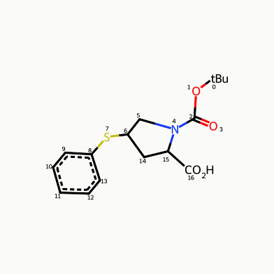 CC(C)(C)OC(=O)N1CC(Sc2ccccc2)CC1C(=O)O